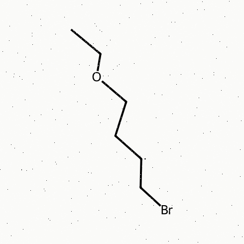 CCOCC[CH]CBr